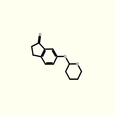 O=C1CCc2ccc(OC3CCCCO3)cc21